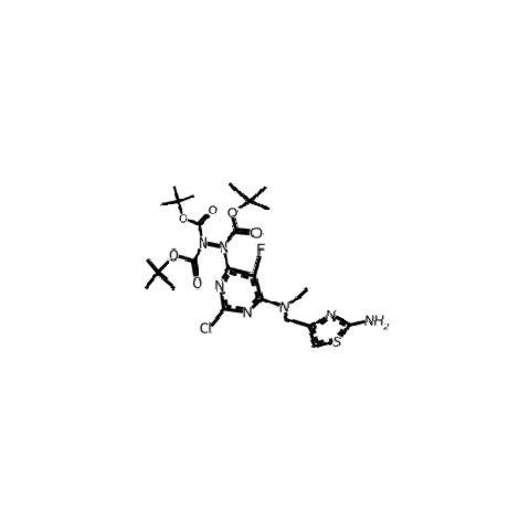 CN(Cc1csc(N)n1)c1nc(Cl)nc(N(C(=O)OC(C)(C)C)N(C(=O)OC(C)(C)C)C(=O)OC(C)(C)C)c1F